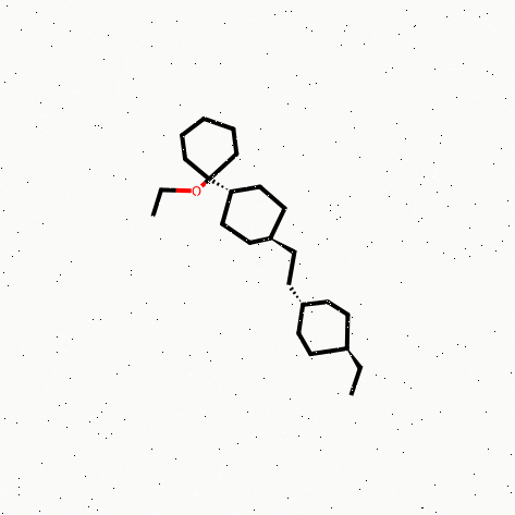 CCOC1([C@H]2CC[C@H](CC[C@H]3CC[C@H](CC)CC3)CC2)CCCCC1